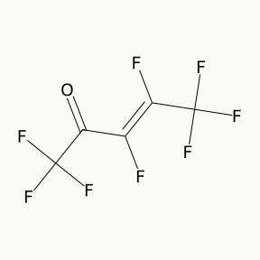 O=C(/C(F)=C(\F)C(F)(F)F)C(F)(F)F